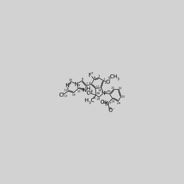 COc1cc(F)c(-c2cn3cnc(Cl)cc3n2)c2c1N(c1ccccc1[N+](=O)[O-])CC2(C)C